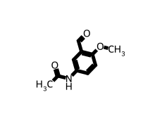 COc1ccc(NC(C)=O)cc1C=O